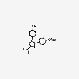 COc1ccc(-c2nc(C(F)F)cn2-c2ccc(C#N)cc2)cc1